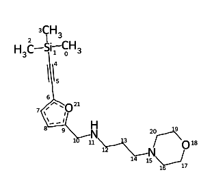 C[Si](C)(C)C#Cc1ccc(CNCCCN2CCOCC2)o1